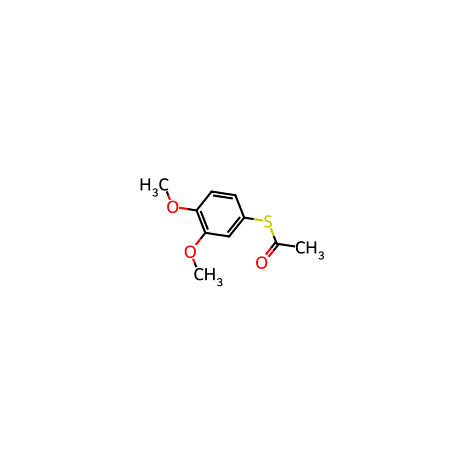 COc1ccc(SC(C)=O)cc1OC